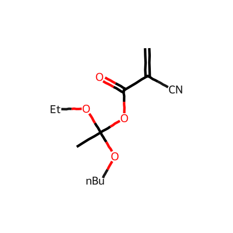 C=C(C#N)C(=O)OC(C)(OCC)OCCCC